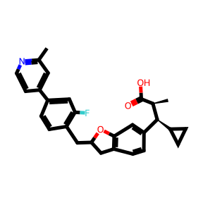 Cc1cc(-c2ccc(CC3Cc4ccc([C@H](C5CC5)[C@H](C)C(=O)O)cc4O3)c(F)c2)ccn1